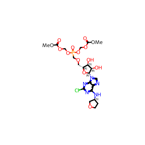 COC(=O)OCOP(=O)(COC[C@H]1O[C@@H](n2cnc3c(N[C@H]4CCOC4)nc(Cl)nc32)[C@H](O)[C@@H]1O)OCOC(=O)OC